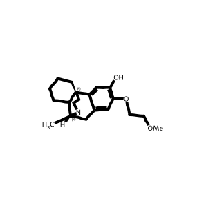 COCCOc1cc2c(cc1O)[C@@]13CCCCC1[C@@H](C2)N(C)CC3